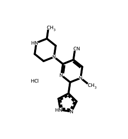 CC1CN(C2=NC(c3cn[nH]c3)N(C)C=C2C#N)CCN1.Cl